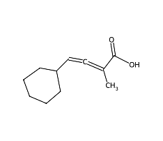 CC(=C=CC1CCCCC1)C(=O)O